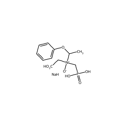 CC(Oc1ccccc1)[N+]([O-])(CC(=O)O)CP(=O)(O)O.[NaH]